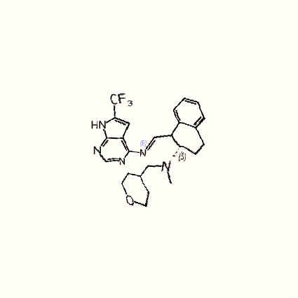 CN(CC1CCOCC1)[C@H]1CCc2ccccc2C1/C=N/c1ncnc2[nH]c(C(F)(F)F)cc12